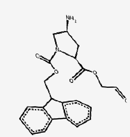 C=CCOC(=O)[C@@H]1C[C@H](N)CN1C(=O)OCC1c2ccccc2-c2ccccc21